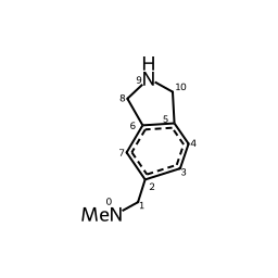 CNCc1ccc2c(c1)CNC2